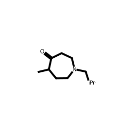 C[C](C)CN1CCC(=O)C(C)CC1